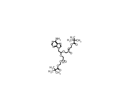 CC(C)(C)C(=O)OCO[PH](=O)COC(Cn1cnc2c(N)ncnc21)OC[PH](=O)OCOC(=O)C(C)(C)C